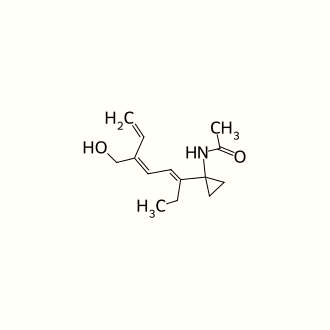 C=C/C(=C\C=C(/CC)C1(NC(C)=O)CC1)CO